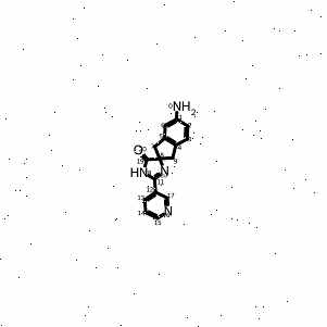 Nc1ccc2c(c1)CC1(C2)N=C(c2cccnc2)NC1=O